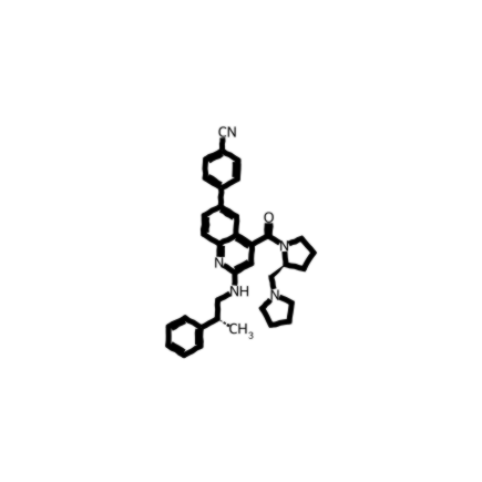 C[C@@H](CNc1cc(C(=O)N2CCC[C@H]2CN2CCCC2)c2cc(-c3ccc(C#N)cc3)ccc2n1)c1ccccc1